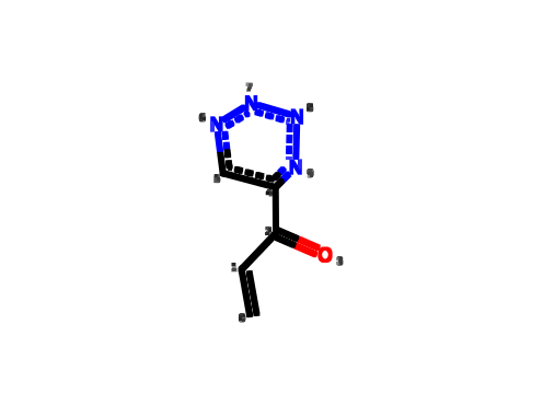 C=CC(=O)c1cnnnn1